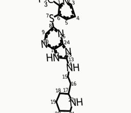 FC(F)(F)c1ncccc1Sc1cnc2[nH]c(NCCC3CCCCN3)nc2n1